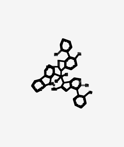 CCCCC1=Cc2c(ccc(CC)c2-c2ccccc2C(C)C)[CH]1[Zr]([Cl])([Cl])([c]1cccc2c1[SiH2]c1ccccc1-2)[CH]1C(CCCC)=Cc2c1ccc(CC)c2-c1ccccc1C(C)C